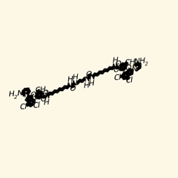 Cc1cc(S(=O)(=O)NCCCCCCCCNC(=O)NCCCCNC(=O)NCCCCCCCCNS(=O)(=O)c2ccc(O[C@H]3c4cc(Cl)cc(Cl)c4C[C@@H]3N3CCC[C@@H](N)C3)c(C)c2)ccc1O[C@H]1c2cc(Cl)cc(Cl)c2C[C@@H]1N1CCC[C@@H](N)C1